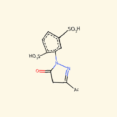 CC(=O)C1=NN(c2cc(S(=O)(=O)O)ccc2S(=O)(=O)O)C(=O)C1